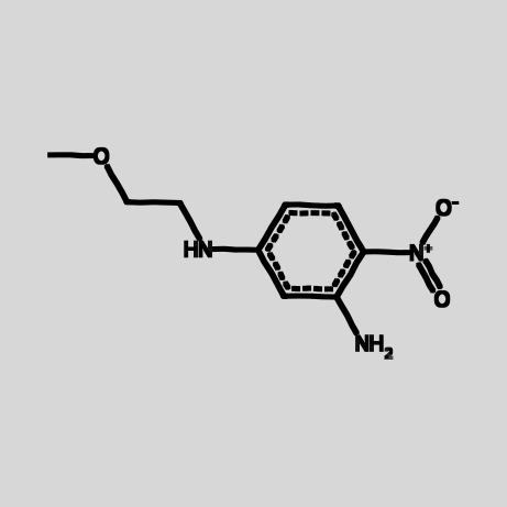 COCCNc1ccc([N+](=O)[O-])c(N)c1